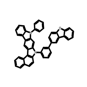 c1ccc(-n2c3ccccc3c3cc4c5c6ccccc6ccc5n(-c5cccc(-c6ccc7oc8ccccc8c7c6)c5)c4cc32)cc1